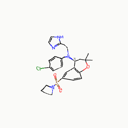 CC1(C)C[C@H](N(Cc2ncc[nH]2)c2ccc(Cl)cc2)c2cc(S(=O)(=O)N3CCC3)ccc2O1